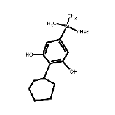 CCCCCC[Si](C)(C)c1cc(O)c(C2CCCCC2)c(O)c1